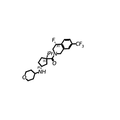 CC(C)[C@]1(C(=O)N2Cc3cc(C(F)(F)F)ccc3[C@@H](F)C2)CC[C@@H](NC2CCOCC2)C1